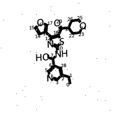 CCc1cncc(C(O)Nc2nc(-c3ccoc3)c(C(=O)C3CCOCC3)s2)c1